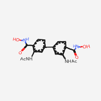 CC(=O)Nc1cc(-c2ccc(C(=O)NO)c(NC(C)=O)c2)ccc1C(=O)NO